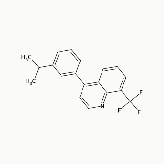 CC(C)c1cccc(-c2[c]cnc3c(C(F)(F)F)cccc23)c1